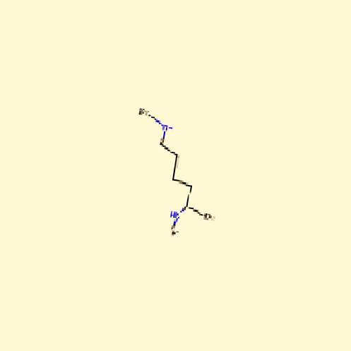 CC(C)NCCCCC(NC(C)C)C(C)(C)C